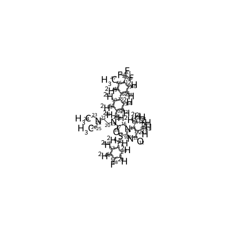 [2H]c1c([2H])c(C([2H])([2H])Sc2nc(=O)c3c(n2CC(=O)N(CCN(CC)CC)C([2H])([2H])c2c([2H])c([2H])c(-c4c([2H])c([2H])c(C(F)(F)F)c(C)c4[2H])c([2H])c2[2H])C([2H])([2H])C([2H])([2H])C3([2H])[2H])c([2H])c([2H])c1F